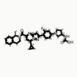 C[C@@H]1c2ccccc2CCN1C(=O)c1cc(C2CC2)n2nc(-c3ccc(N4CCC(NC(=O)O)C4)cc3F)cc2n1